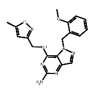 COc1c[c]ccc1Cn1ncc2nc(N)nc(NCc3cc(C)on3)c21